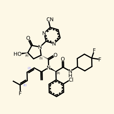 C=C(/C=C\C=C(/C)F)N(C(=O)[C@@H]1C[C@@H](O)C(=O)N1c1nccc(C#N)n1)[C@@H](C(=O)NC1CCC(F)(F)CC1)c1ccccc1Cl